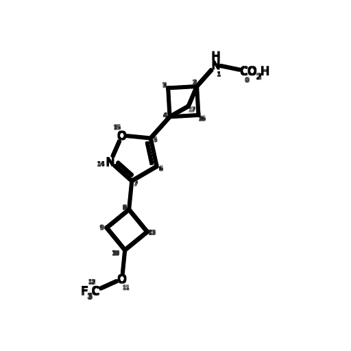 O=C(O)NC12CC(c3cc(C4CC(OC(F)(F)F)C4)no3)(C1)C2